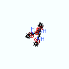 O=C(NCCCCC(NC(=O)Oc1ccccc1)C(=O)OCCNC(=O)Oc1ccccc1)Oc1ccccc1